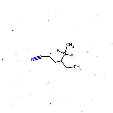 CCC(CCC#N)[Si](C)(F)F